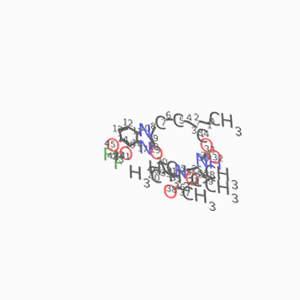 CCC[C@H]1CCCCCc2nc3ccc4c(c3nc2O[C@H]2CN(C(=O)[C@H](C(C)(C)C)NC(=O)OC1)[C@H](C(C)=O)C2C)OC(F)(F)O4